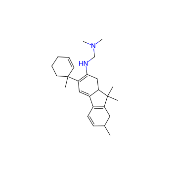 CC1C=CC2=C(C1)C(C)(C)C1CC(NCN(C)C)=C(C3(C)C=CCCC3)C=C21